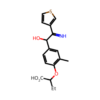 CCC(Oc1ccc(C(O)C(=N)c2ccsc2)cc1C)C(=O)O